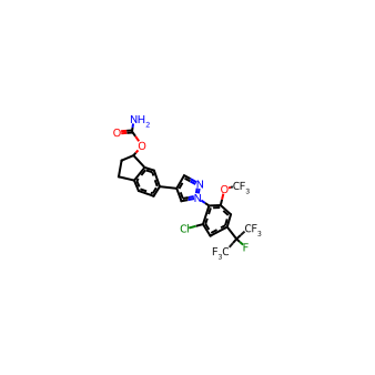 NC(=O)OC1CCc2ccc(-c3cnn(-c4c(Cl)cc(C(F)(C(F)(F)F)C(F)(F)F)cc4OC(F)(F)F)c3)cc21